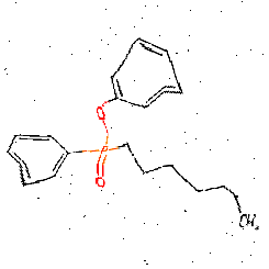 CCCCCCP(=O)(Oc1ccccc1)c1ccccc1